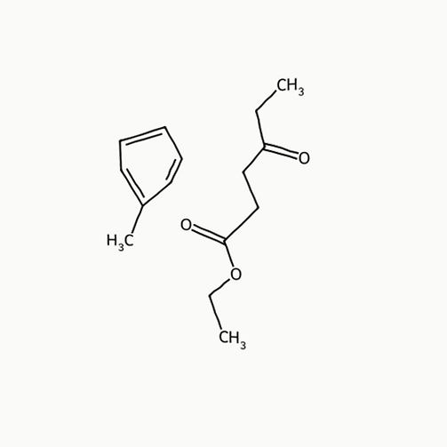 CCOC(=O)CCC(=O)CC.Cc1ccccc1